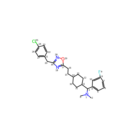 CN(C)C(c1cccc(F)c1)C1CCC(CCc2nc(Cc3ccc(Cl)cc3)no2)CC1